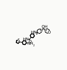 CC1(Nc2ccc(C(=O)Nc3cc(-c4cccs4)ccc3N)cc2)CCN(C(O)N2CCOCC2)CC1